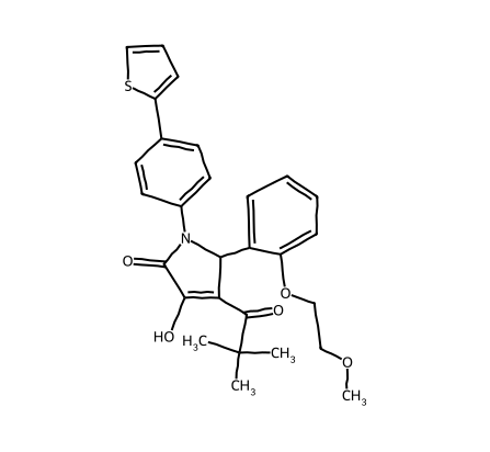 COCCOc1ccccc1C1C(C(=O)C(C)(C)C)=C(O)C(=O)N1c1ccc(-c2cccs2)cc1